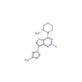 C[C@@H]1COCCN1c1nc(Cl)nc2c(-c3ccn(C)n3)csc12